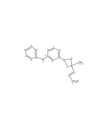 CC1(C=CC(=O)O)CC(c2cccc(Oc3ccccc3)c2)C1